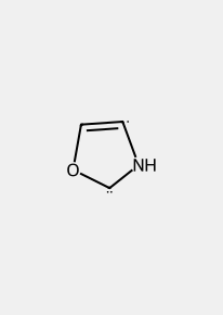 [C]1N[C]=CO1